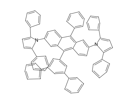 c1ccc(-c2cc(-c3ccccc3)cc(-c3c4ccc(-n5c(-c6ccccc6)ccc5-c5ccccc5)cc4c(-c4ccccc4)c4ccc(-n5c(-c6ccccc6)ccc5-c5ccccc5)cc34)c2)cc1